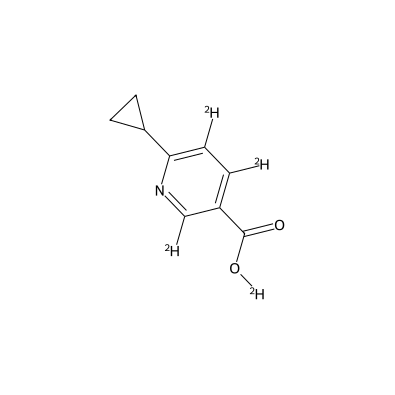 [2H]OC(=O)c1c([2H])nc(C2CC2)c([2H])c1[2H]